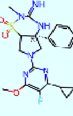 COc1nc(N2CC3[C@](c4ccccc4)(C2)NC(=N)N(C)S3(=O)=O)nc(C2CC2)c1F